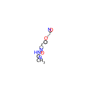 Cc1ccc(NC(=O)N2CCC(=Cc3cccc(OCCCc4cnoc4)c3)CC2)cn1